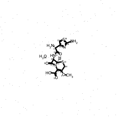 COC1=C(C(=O)O)N2C(=O)[C@@H](NC(=O)[C@H](N)c3csc(N)n3)[C@H]2SC1.O